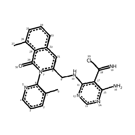 Cc1cccnc1-n1c(CNc2ncnc(N)c2C(=N)Cl)cc2cccc(C)c2c1=O